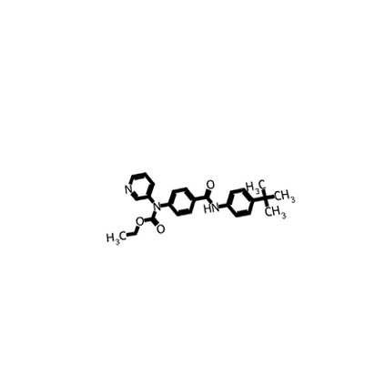 CCOC(=O)N(c1ccc(C(=O)Nc2ccc(C(C)(C)C)cc2)cc1)c1cccnc1